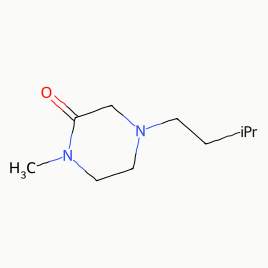 CC(C)CCN1CCN(C)C(=O)C1